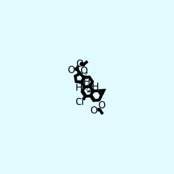 CC(=O)OC1C=C2C(Cl)=C[C@@H]3[C@@H](CC[C@@]4(C)[C@H]3CC[C@@]4(OC(C)=O)C(C)=O)[C@]2(C)C2CC12